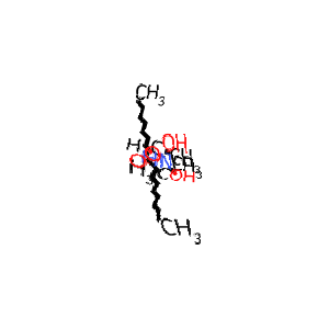 CC(C)(O)NC(C)(C)O.CCCCCCCCCC(=O)OCCCCCCCC